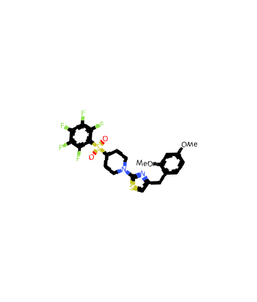 COc1ccc(Cc2csc(N3CCC(S(=O)(=O)c4c(F)c(F)c(F)c(F)c4F)CC3)n2)c(OC)c1